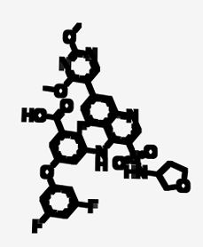 COc1ncc(-c2cc(F)c3c(Nc4cc(Oc5cc(F)cc(F)c5)cc(C(=O)O)c4)c(S(=O)(=O)NC4CCOC4)cnc3c2)c(OC)n1